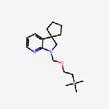 C[Si](C)(C)CCOCN1CC2(CCCC2)c2cccnc21